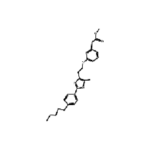 CCCCCc1ccc(-c2nc(CCOc3cccc(CC(=O)OC)c3)c(C)o2)cc1